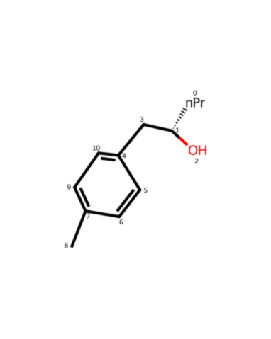 CCC[C@H](O)Cc1ccc(C)cc1